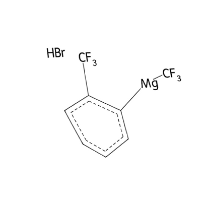 Br.F[C](F)(F)[Mg][c]1ccccc1C(F)(F)F